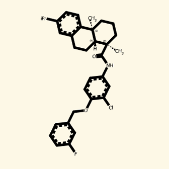 CC(C)c1ccc2c(c1)CC[C@H]1[C@](C)(C(=O)Nc3ccc(OCc4cccc(F)c4)c(Cl)c3)CCC[C@]21C